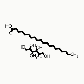 CCCCCCCCCCCCCCCCCCCC(=O)O.OCC(O)C(O)C(O)C(O)CO